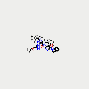 COCCCNc1nc(C(C)(C)C)ncc1C(=O)N(CC(C)C)[C@@H]1CNC[C@H](C(=O)N2CCc3ccccc32)C1